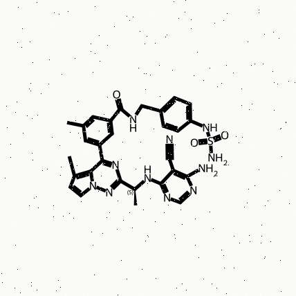 Cc1cc(C(=O)NCc2ccc(NS(N)(=O)=O)cc2)cc(-c2nc([C@H](C)Nc3ncnc(N)c3C#N)nn3ccc(C)c23)c1